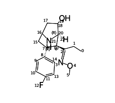 CCC(=NOC)[C@H]1[C@H](c2ccc(F)cc2)CC2CC(O)[C@@H]1N2